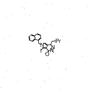 CC(C)Cc1nn(C)c(=O)c2c(I)n(Cc3cccc4ccccc34)cc12